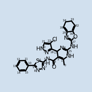 CC1=C(C(=O)Nc2nnc(-c3ccccc3)s2)C(c2n[nH]cc2Cl)N=C(Nc2nc3c(o2)=CCCC=3)N1